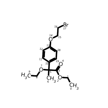 CCOC(=O)C(C)(OCC)c1ccc(OCCBr)cc1